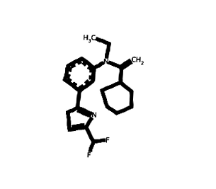 C=C(C1CCCCC1)N(CC)c1cccc(C2=NC(C(F)F)=CC2)c1